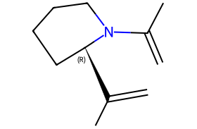 C=C(C)[C@H]1CCCCN1C(=C)C